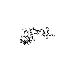 NC(=O)C(N)Cc1ccc(-c2cccc(S(N)(=O)=O)c2-c2nnn[nH]2)cc1